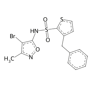 Cc1noc(NS(=O)(=O)c2sccc2Cc2ccccc2)c1Br